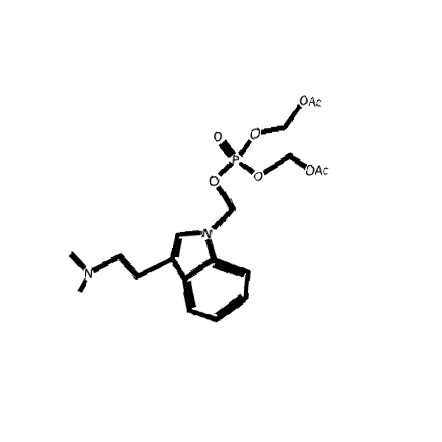 CC(=O)OCOP(=O)(OCOC(C)=O)OCn1cc(CCN(C)C)c2ccccc21